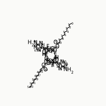 CCCCCCCCCCCC(=O)OCOP1(=O)CC[C@H]2O[C@@H](n3cnc4c(N)ncnc43)[C@H](F)[C@@H]2OP(=O)(OCOC(=O)CCCCCCCCCCC)OC[C@H]2O[C@@H](n3cnc4c(N)ncnc43)[C@H](F)[C@@H]2O1